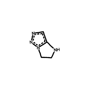 c1nnn2c1NCC2